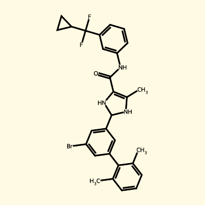 CC1=C(C(=O)Nc2cccc(C(F)(F)C3CC3)c2)NC(c2cc(Br)cc(-c3c(C)cccc3C)c2)N1